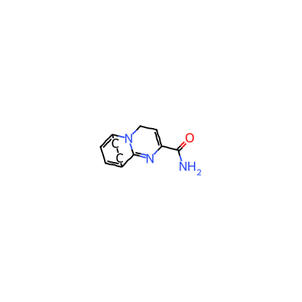 NC(=O)C1=CCN2C3=CC=C(CC3)C2=N1